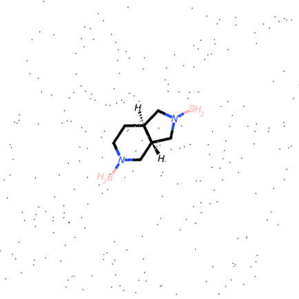 BN1CC[C@H]2CN(B)C[C@@H]2C1